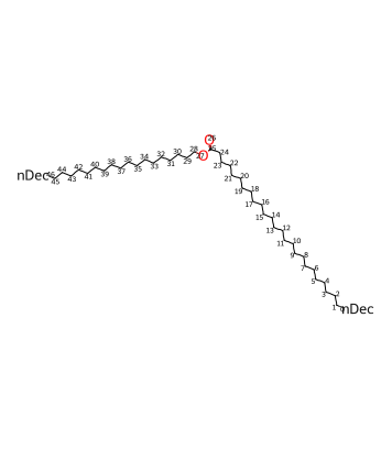 CCCCCCCCCCCCCCCCCCCCCCCCCCCCCCCCCCC(=O)OCCCCCCCCCCCCCCCCCCCCCCCCCCCC